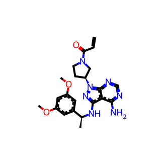 C=CC(=O)N1CC[C@H](n2nc(N[C@@H](C)c3cc(OC)cc(OC)c3)c3c(N)ncnc32)C1